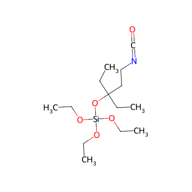 CCO[Si](OCC)(OCC)OC(CC)(CC)CCN=C=O